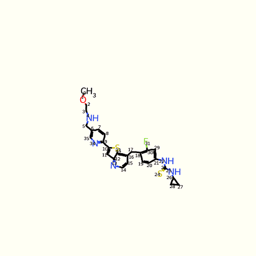 COCCNCc1ccc(-c2cc3nccc(Cc4ccc(NC(=S)NC5CC5)cc4F)c3s2)nc1